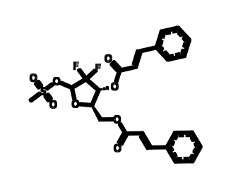 CS(=O)(=O)OC1O[C@H](COC(=O)C=Cc2ccccc2)[C@@H](OC(=O)C=Cc2ccccc2)C1(F)F